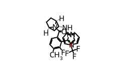 Cc1ccc(C(=O)N2[C@@H]3CC[C@H]2[C@H](Nc2ccc(C(F)(F)F)cn2)C3)c(-c2ncccn2)c1F